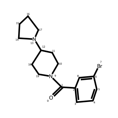 O=C(c1cccc(Br)c1)N1CCC(N2CCCC2)CC1